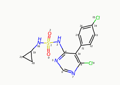 O=S(=O)(Nc1ncnc(Cl)c1-c1ccc(Cl)cc1)NC1CC1